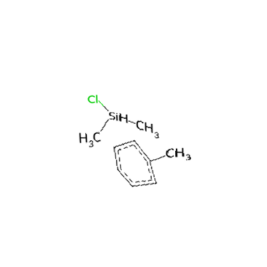 C[SiH](C)Cl.Cc1ccccc1